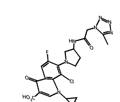 Cc1nnnn1CC(=O)NC1CCN(c2c(F)cc3c(=O)c(C(=O)O)cn(C4CC4)c3c2Cl)C1